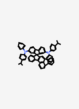 CC(C)c1ccc(N(c2ccccc2)c2ccc3c(c2)C2(c4cc(N(c5ccccc5)c5ccc(C(C)C)cc5)ccc4-3)c3ccccc3-c3c2cc2c4c(cccc34)-c3ccccc3-2)cc1